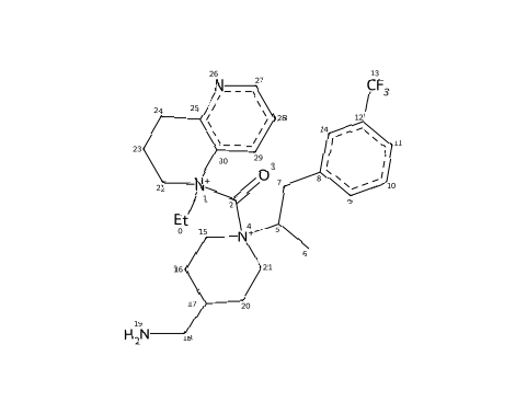 CC[N+]1(C(=O)[N+]2(C(C)Cc3cccc(C(F)(F)F)c3)CCC(CN)CC2)CCCc2ncccc21